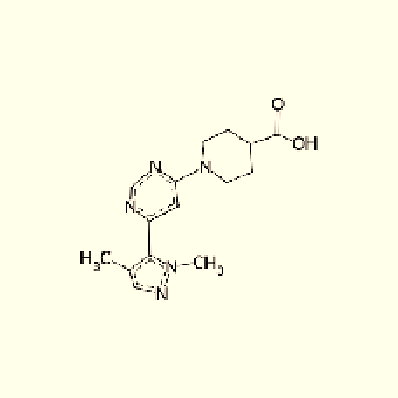 Cc1cnn(C)c1-c1cc(N2CCC(C(=O)O)CC2)ncn1